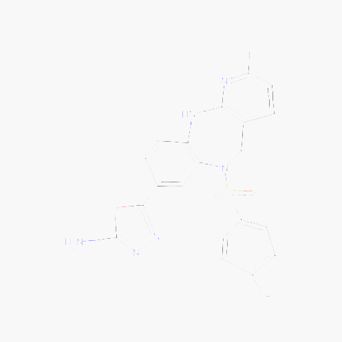 CC(C)(C)c1ccc(S(=O)(=O)N2Cc3ccc(C(F)(F)F)nc3Nc3ccc(-c4nnc(N)o4)cc32)cc1